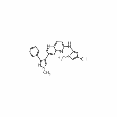 Cc1cc(Nc2ccc3ncc(-c4cn(C)nc4-c4cccnc4)cc3n2)n(C)c1